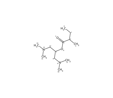 CCC(C)C(=O)OC(CN(C)C)CN(C)C